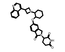 O=C1CCC(N2Cc3cc(OC4CCCCC4N4CC(c5ccnc6ccccc56)C4)ccc3C2=O)C(=O)N1